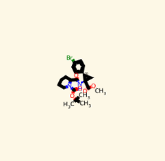 COC(=O)[C@@]1(NC(=O)C2CCCCN2C(=O)OC(C)(C)C)C[C@H]1c1ccc(Br)cc1